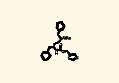 CN[C@H](CC[C@H](Cc1ccccc1)NC(=O)OCc1cncs1)Cc1ccccc1